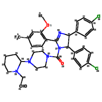 CCOc1cc(C(F)(F)F)ccc1C1=NC(c2ccc(Cl)cc2)C(c2ccc(Cl)cc2)N1C(=O)N1CCN(C2CCCCN2CC=O)CC1